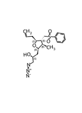 C=CC[C@@H]1O[C@H](C[C@H](O)CN=[N+]=[N-])[C@H](C)[C@H]1CS(=O)(=O)c1ccccc1